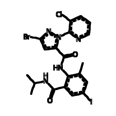 Cc1cc(I)cc(C(=O)NC(C)C)c1NC(=O)c1cc(Br)nn1-c1ncccc1Cl